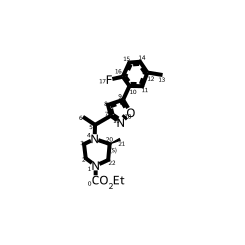 CCOC(=O)N1CCN(C(C)c2cc(-c3cc(C)ccc3F)on2)[C@@H](C)C1